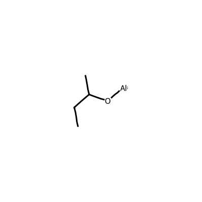 CCC(C)[O][Al]